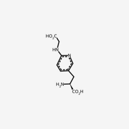 N[C@@H](Cc1ccc(NCC(=O)O)nc1)C(=O)O